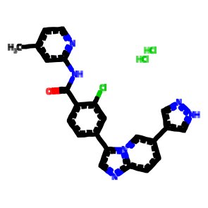 Cc1ccnc(NC(=O)c2ccc(-c3cnc4ccc(-c5cn[nH]c5)cn34)cc2Cl)c1.Cl.Cl